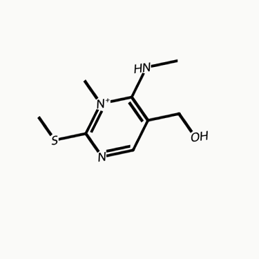 CNc1c(CO)cnc(SC)[n+]1C